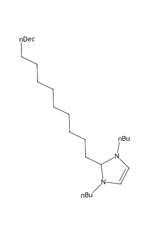 CCCCCCCCCCCCCCCCCCCC1N(CCCC)C=CN1CCCC